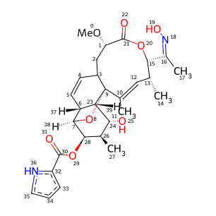 CO[C@H]1CC2C=C[C@H]3[C@H]4O[C@]2(/C(C)=C/[C@@H](C)[C@@H](/C(C)=N\O)OC1=O)[C@@H]3[C@H](O)[C@@H](C)[C@H]4OC(=O)c1ccc[nH]1